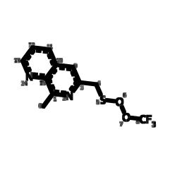 Cc1nc(CSOOC(F)(F)F)cc2cccnc12